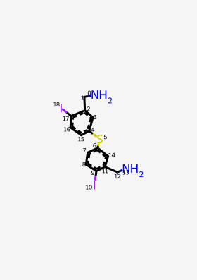 NCc1cc(Sc2ccc(I)c(CN)c2)ccc1I